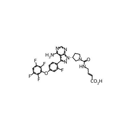 Nc1ncnc2c1c(-c1ccc(Oc3c(F)c(F)cc(F)c3F)cc1F)nn2[C@@H]1CCN(C(=O)NCC=CC(=O)O)C1